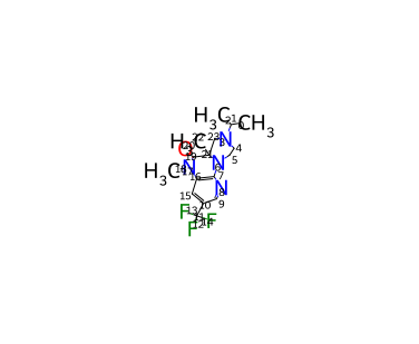 CC(C)N1CCN2c3ncc(C(F)(F)F)cc3N(C)C(=O)C2(C)C1